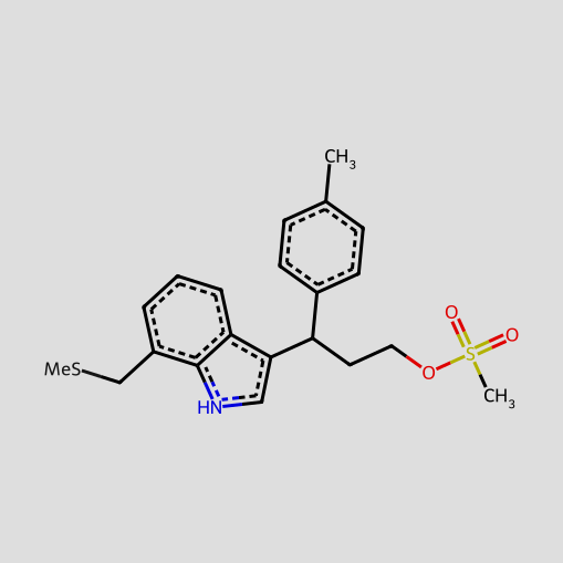 CSCc1cccc2c(C(CCOS(C)(=O)=O)c3ccc(C)cc3)c[nH]c12